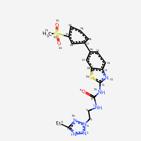 CCc1nnn(CCNC(=O)Nc2nc3ccc(-c4cccc(S(C)(=O)=O)c4)cc3s2)n1